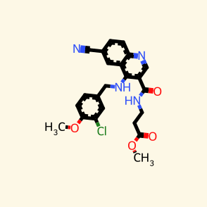 COC(=O)CCNC(=O)c1cnc2ccc(C#N)cc2c1NCc1ccc(OC)c(Cl)c1